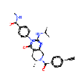 C#Cc1ccc(C(=O)N2Cc3nc(NC(C)C)n(-c4ccc(C(=O)NC)cc4)c(=O)c3C[C@H]2C)cc1